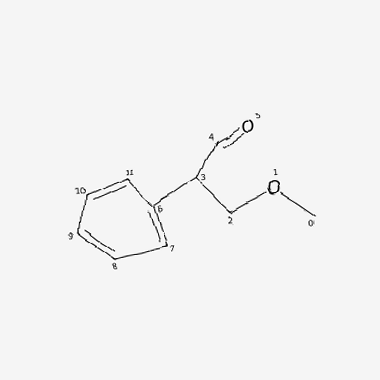 COCC(C=O)c1ccccc1